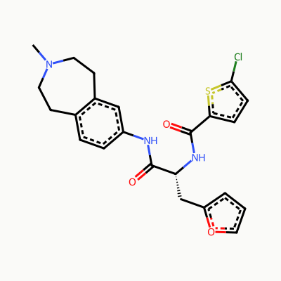 CN1CCc2ccc(NC(=O)[C@@H](Cc3ccco3)NC(=O)c3ccc(Cl)s3)cc2CC1